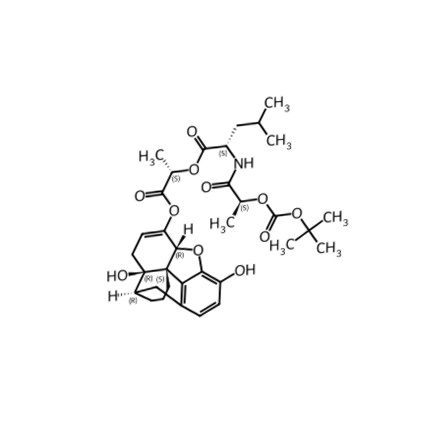 CC(C)C[C@H](NC(=O)[C@H](C)OC(=O)OC(C)(C)C)C(=O)O[C@@H](C)C(=O)OC1=CC[C@@]2(O)[C@@H]3CCC[C@@]24c2c(ccc(O)c2O[C@@H]14)C3